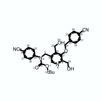 CC(C)(C)OC(=O)N(Cc1cnc(CO)c(OCc2ccc(C#N)cc2)c1CO)c1ccc(C#N)cc1